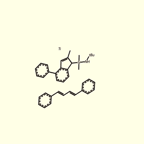 C(C=Cc1ccccc1)=Cc1ccccc1.CC1=Cc2c(-c3ccccc3)cccc2C1[Si](C)(C)NC(C)(C)C.[Ti]